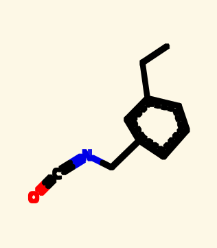 CCc1cccc(CN=C=O)c1